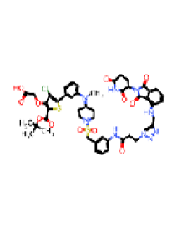 CN(c1cccc(-c2sc(C(=O)OC(C)(C)C)c(OCC(=O)O)c2Cl)c1)C1CCN(S(=O)(=O)Cc2cccc(NC(=O)CCn3cc(CNc4cccc5c4C(=O)N(C4CCC(=O)NC4=O)C5=O)nn3)c2)CC1